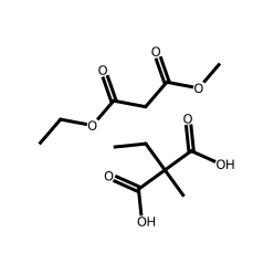 CCC(C)(C(=O)O)C(=O)O.CCOC(=O)CC(=O)OC